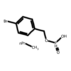 CCCC.O=[PH](O)OCc1ccc(Br)cc1